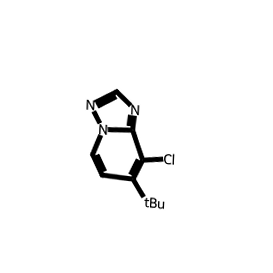 CC(C)(C)c1ccn2ncnc2c1Cl